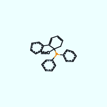 COC1(P(c2ccccc2)c2ccccc2)CC=CC=C1c1ccccc1